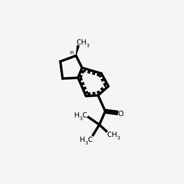 C[C@@H]1CCc2cc(C(=O)C(C)(C)C)ccc21